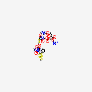 CCSC(=S)SC(CC(CC(C)(C)C(=O)OCCSC1CC(=O)N(CCOC(=O)C(C)CC(CC(C)C(=O)OCC[N+](C)(C)CC)C(=O)OCC[N+](C)(C)C)C1=O)C(=O)NC(C)C)c1ccccc1